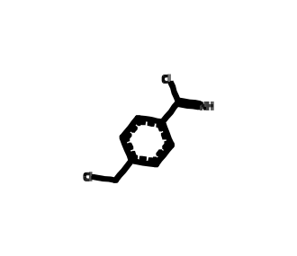 N=C(Cl)c1ccc(CCl)cc1